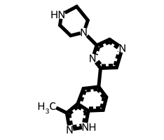 Cc1n[nH]c2ccc(-c3cncc(N4CCNCC4)n3)cc12